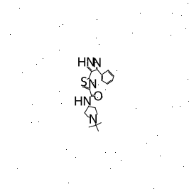 CC(C)(C)N1CCC(NC(=O)c2csc(-c3c[nH]nc3-c3ccccc3)n2)CC1